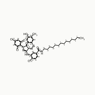 CCCCCCCCCCCCCCNC(=O)c1ccc(Cl)c(NC2=NN(c3c(Cl)cc(Cl)cc3Cl)C(=O)C2N=Nc2ccc(O)c(C)c2)c1